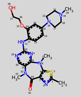 Cc1nc2c(s1)N(C)c1nc(Nc3ccc(N4CCN(C)CC4)cc3OCCO)ncc1N(C)C2=O